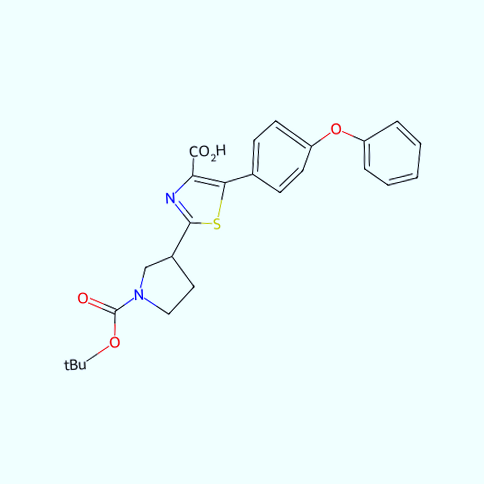 CC(C)(C)OC(=O)N1CCC(c2nc(C(=O)O)c(-c3ccc(Oc4ccccc4)cc3)s2)C1